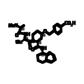 CN[C@@H](C)C(=O)N[C@H](C(=O)N1CC[C@@H](OCc2ccc(C(=O)O)cc2)C[C@H]1C(=O)N[C@@H]1CCCc2ccccc21)C(C)(C)C